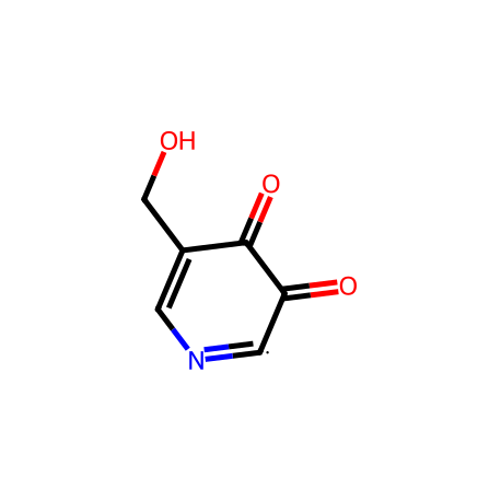 O=C1[C]=NC=C(CO)C1=O